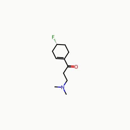 CN(C)CCC(=O)C1=CC[C@H](F)CC1